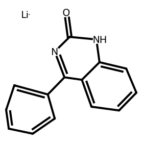 O=c1nc(-c2ccccc2)c2ccccc2[nH]1.[Li]